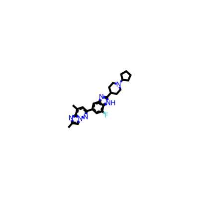 Cc1cn2nc(-c3cc(F)c4[nH]c(C5CCN(C6CCCC6)CC5)nc4c3)cc(C)c2n1